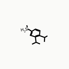 C[SiH2]c1ccc(C(C)C)c(C(C)C)c1